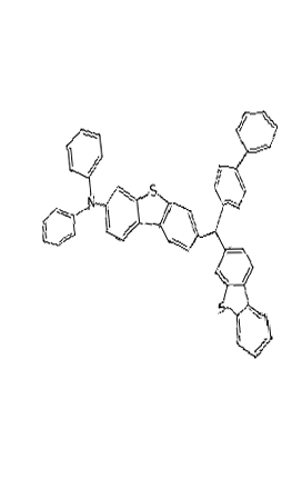 c1ccc(-c2ccc(C(c3ccc4c(c3)sc3ccccc34)c3ccc4c(c3)sc3cc(N(c5ccccc5)c5ccccc5)ccc34)cc2)cc1